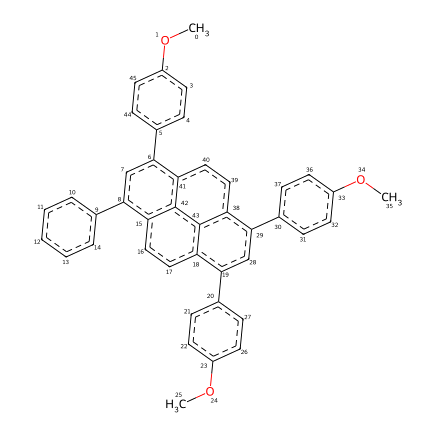 COc1ccc(-c2cc(-c3ccccc3)c3ccc4c(-c5ccc(OC)cc5)cc(-c5ccc(OC)cc5)c5ccc2c3c45)cc1